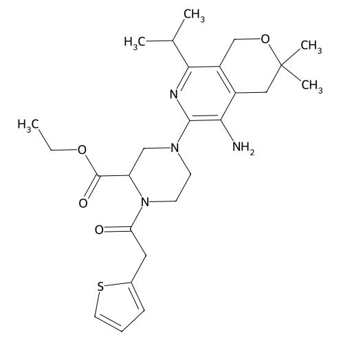 CCOC(=O)C1CN(c2nc(C(C)C)c3c(c2N)CC(C)(C)OC3)CCN1C(=O)Cc1cccs1